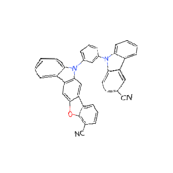 N#Cc1ccc2c(c1)c1ccccc1n2-c1cccc(-n2c3ccccc3c3cc4oc5c(C#N)cccc5c4cc32)c1